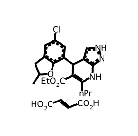 CCCC1=C(C(=O)OCC)C(c2cc(Cl)cc3c2OC(C)C3)c2c[nH]nc2N1.O=C(O)C=CC(=O)O